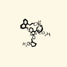 CN1CCCC1COc1nc2c(c(C34CCC(CNC3)N4C(=O)O)n1)CCN(c1cccc3cccc(CCC#N)c13)C2